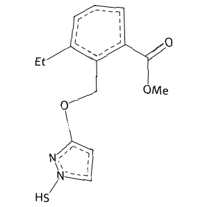 CCc1cccc(C(=O)OC)c1COc1ccn(S)n1